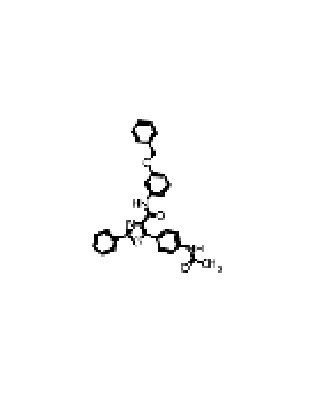 CC(=O)Nc1ccc(-c2oc(-c3ccccc3)nc2C(=O)Nc2cccc(OCc3ccccc3)c2)cc1